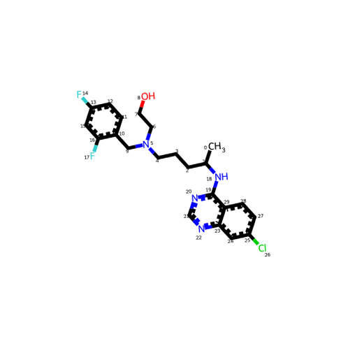 CC(CCCN(CCO)Cc1ccc(F)cc1F)Nc1ncnc2cc(Cl)ccc12